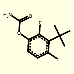 CC(C)(C)c1c(I)ccc(OC(N)=O)c1Cl